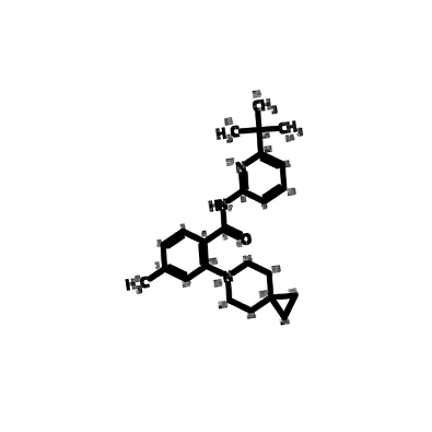 Cc1ccc(C(=O)Nc2cccc(C(C)(C)C)n2)c(N2CCC3(CC2)CC3)c1